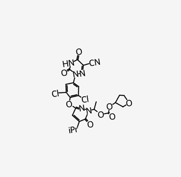 CC(C)c1cc(Oc2c(Cl)cc(-n3nc(C#N)c(=O)[nH]c3=O)cc2Cl)nn(C(C)OC(=O)OC2CCOC2)c1=O